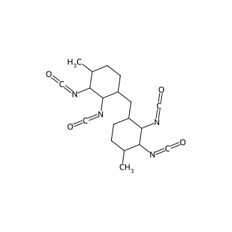 CC1CCC(CC2CCC(C)C(N=C=O)C2N=C=O)C(N=C=O)C1N=C=O